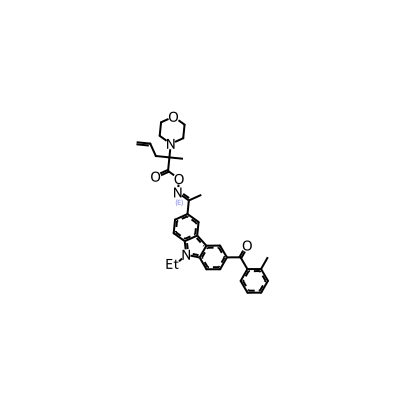 C=CCC(C)(C(=O)O/N=C(\C)c1ccc2c(c1)c1cc(C(=O)c3ccccc3C)ccc1n2CC)N1CCOCC1